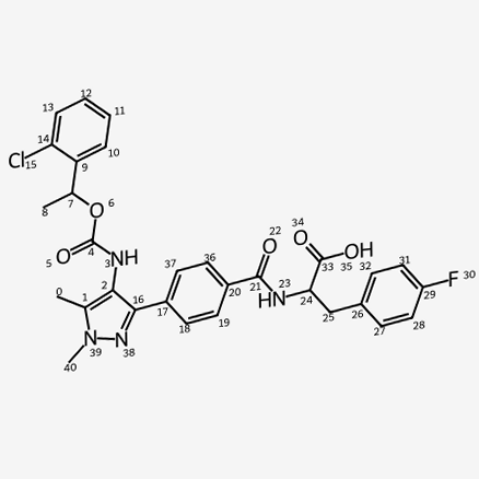 Cc1c(NC(=O)OC(C)c2ccccc2Cl)c(-c2ccc(C(=O)NC(Cc3ccc(F)cc3)C(=O)O)cc2)nn1C